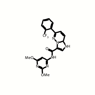 COc1cc(NC(=O)C2=CNC3C=CC(c4ccccc4C(F)(F)F)=NN23)nc(OC)n1